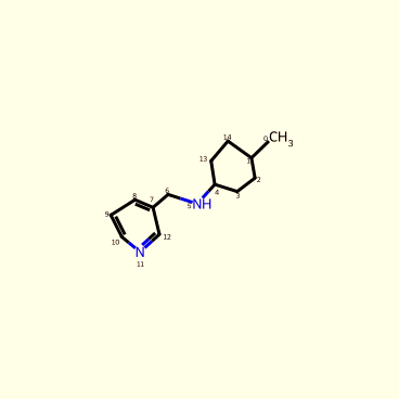 CC1CCC(NCc2cccnc2)CC1